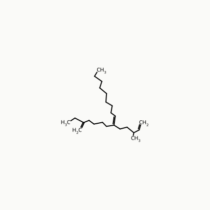 C=CC(C)CCC(=CCCCCCCCC)CCCCC(=C)CC